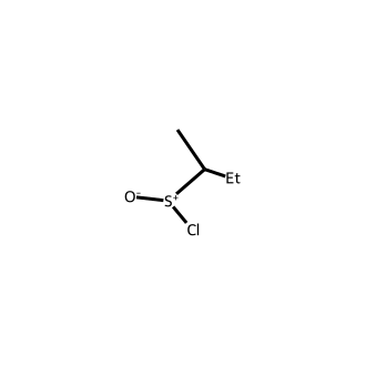 CCC(C)[S+]([O-])Cl